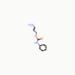 NC=CCOC(=O)Nc1ccccc1